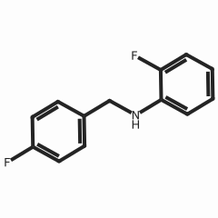 Fc1ccc(CNc2ccccc2F)cc1